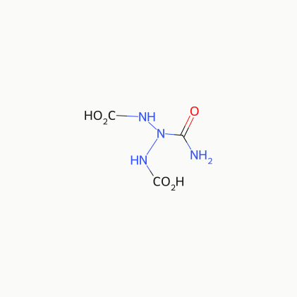 NC(=O)N(NC(=O)O)NC(=O)O